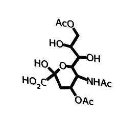 CC(=O)NC1C(OC(C)=O)CC(O)(C(=O)O)OC1C(O)C(O)COC(C)=O